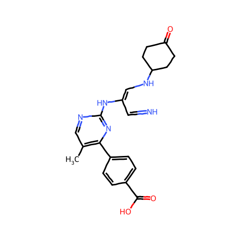 Cc1cnc(N/C(C=N)=C/NC2CCC(=O)CC2)nc1-c1ccc(C(=O)O)cc1